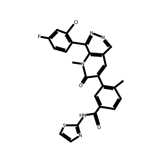 Cc1ccc(C(=O)Nc2nccs2)cc1-c1cc2cnnc(-c3ccc(F)cc3Cl)c2n(C)c1=O